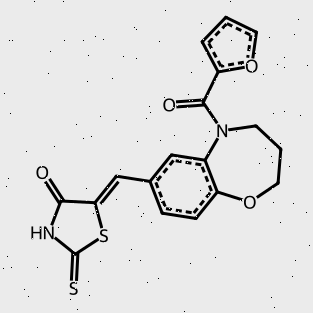 O=C1NC(=S)S/C1=C\c1ccc2c(c1)N(C(=O)c1ccco1)CCCO2